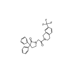 O=C(CN1CCC(c2ccccc2)(c2ccccc2)C1=O)N1CCc2ccc(C(F)(F)F)cc2C1